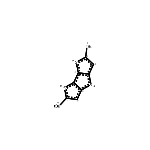 CC(C)(C)c1cc2sc3cc(C(C)(C)C)sc3c2s1